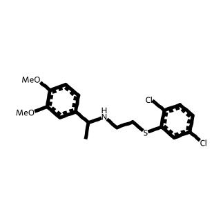 COc1ccc(C(C)NCCSc2cc(Cl)ccc2Cl)cc1OC